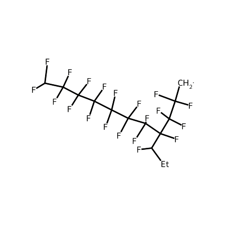 [CH2]C(F)(F)C(F)(F)C(F)(C(F)CC)C(F)(F)C(F)(F)C(F)(F)C(F)(F)C(F)(F)C(F)(F)C(F)F